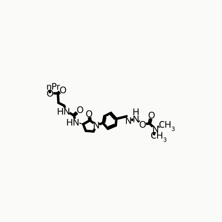 CCCOC(=O)CCNC(=O)N[C@H]1CCN(c2ccc(C=NNOC(=O)N(C)C)cc2)C1=O